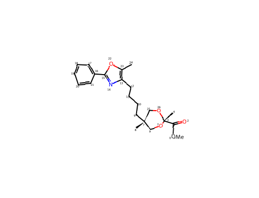 COC(=O)[C@]1(C)OC[C@](C)(CCCCc2nc(-c3ccccc3)oc2C)CO1